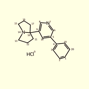 Cl.c1ccc(-c2cncc(C34CCCN3CCC4)c2)cc1